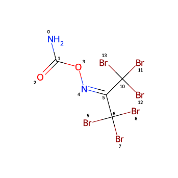 NC(=O)ON=C(C(Br)(Br)Br)C(Br)(Br)Br